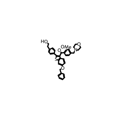 COc1cc(C(=O)c2c(-c3ccc(CCO)cc3)sc3cc(OCc4ccccc4)ccc23)ccc1CN1CCOCC1